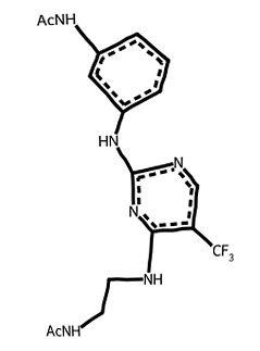 CC(=O)NCCNc1nc(Nc2cccc(NC(C)=O)c2)ncc1C(F)(F)F